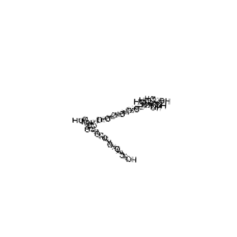 O=C(O)C[C@H](NC(=O)CCOCCOCCOCCOCCOCCOCCN(O)C[C@H](O)[C@@H](O)[C@H](O)[C@H](O)CO)C(=O)CCCOCCOCCOCCOCCOCCO